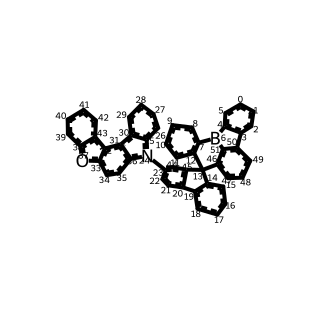 c1ccc2c(c1)B1c3ccccc3C3(c4ccccc4-c4ccc(-n5c6ccccc6c6c7c(ccc65)oc5ccccc57)cc43)c3cccc-2c31